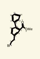 COC(=O)c1cc(CCBr)ccc1-c1ccccc1